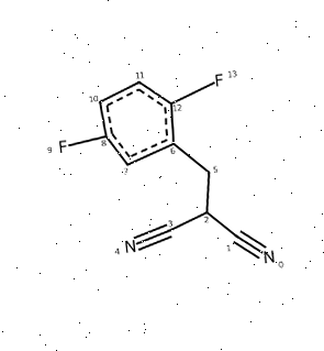 N#CC(C#N)Cc1cc(F)ccc1F